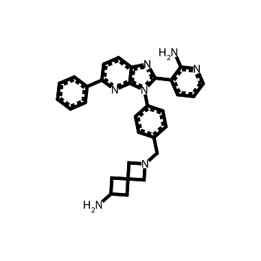 Nc1ncccc1-c1nc2ccc(-c3ccccc3)nc2n1-c1ccc(CN2CC3(CC(N)C3)C2)cc1